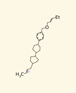 C/C=C/CC1CCC(C2CCC(c3ccc(COCC=CCC)cc3)CC2)CC1